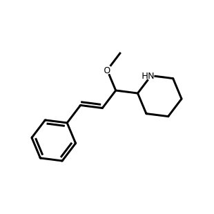 COC(/C=C/c1ccccc1)C1CCCCN1